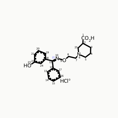 Cl.O=C(O)C1CCCN(CCO/N=C(\c2ccccc2)c2cccc(O)c2)C1